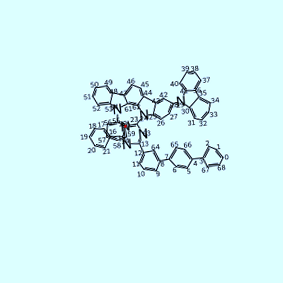 c1ccc(-c2ccc(-c3cccc(-c4nc(-c5ccccc5)nc(-n5c6ccc(-n7c8ccccc8c8ccccc87)cc6c6ccc7c8ccccc8n(-c8ccccc8)c7c65)n4)c3)cc2)cc1